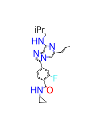 C/C=C/c1cn2c(-c3ccc(C(=O)NC4CC4)c(F)c3)cnc2c(NCC(C)C)n1